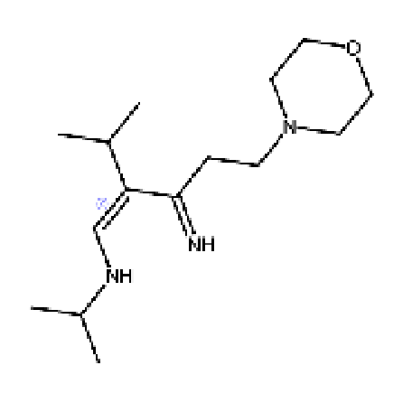 CC(C)N/C=C(\C(=N)CCN1CCOCC1)C(C)C